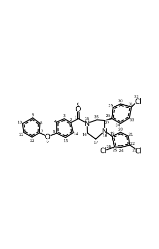 O=C(c1ccc(Oc2ccccc2)cc1)N1CCN(c2ccc(Cl)cc2Cl)[C@H](c2ccc(Cl)cc2)C1